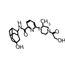 CC1CN(C(=O)CO)CCN1c1cccc(C(=O)NC2C3CC4CC2CC(O)(C4)C3)n1